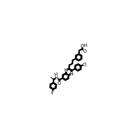 C[C@@H](NC(=O)c1ccc2nc(-c3ccc(Cl)cc3)c(CCCc3cccc(CC(=O)O)c3)nc2c1)c1ccc(F)cc1